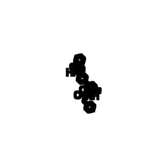 COC(=O)C(Cc1ccccc1)Nc1nccc(-c2ccc(NS(=O)(=O)c3ccccc3)cc2)n1